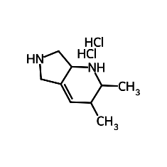 CC1C=C2CNCC2NC1C.Cl.Cl